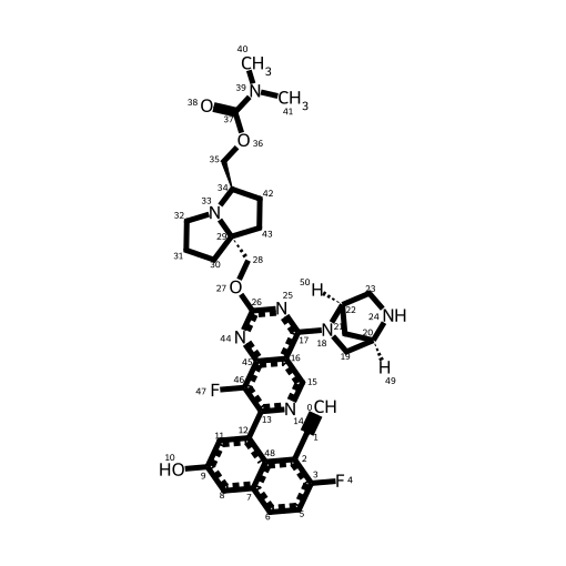 C#Cc1c(F)ccc2cc(O)cc(-c3ncc4c(N5C[C@H]6C[C@@H]5CN6)nc(OC[C@]56CCCN5[C@@H](COC(=O)N(C)C)CC6)nc4c3F)c12